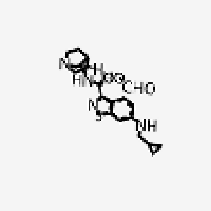 O=C(N[C@@H]1CN2CCC1CC2)c1nsc2cc(NCC3CC3)ccc12.O=CO